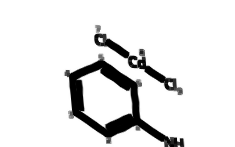 Nc1ccccc1.[Cl][Cd][Cl]